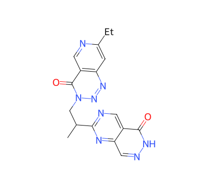 CCc1cc2nnn(CC(C)c3ncc4c(=O)[nH]ncc4n3)c(=O)c2cn1